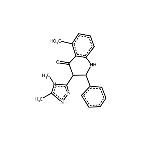 Cc1nnc(C2C(=O)c3c(cccc3C(=O)O)NC2c2ccccc2)n1C